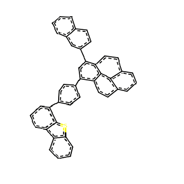 c1ccc2cc(-c3cc(-c4ccc(-c5cccc6c5sc5ccccc56)cc4)c4ccc5cccc6ccc3c4c56)ccc2c1